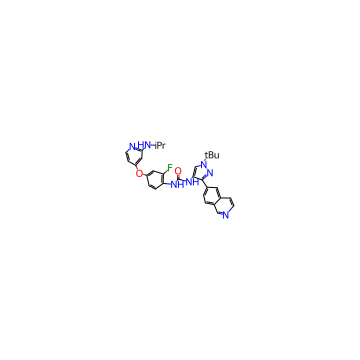 CC(C)Nc1cc(Oc2ccc(NC(=O)Nc3cn(C(C)(C)C)nc3-c3ccc4cnccc4c3)c(F)c2)ccn1